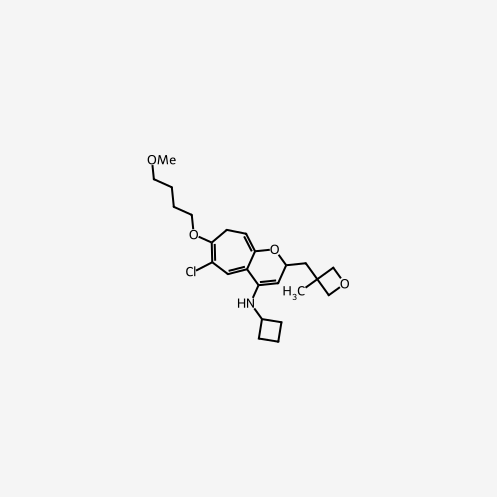 COCCCCOC1=C(Cl)C=C2C(NC3CCC3)=CC(CC3(C)COC3)OC2=CC1